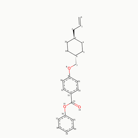 C=CC[C@H]1CC[C@H](COc2ccc(C(=O)Oc3ccccc3)cc2)CC1